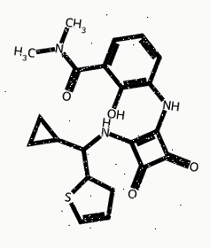 CN(C)C(=O)c1cccc(Nc2c(NC(C3CC3)C3CC=CS3)c(=O)c2=O)c1O